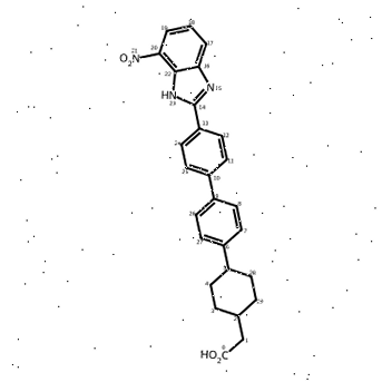 O=C(O)CC1CCC(c2ccc(-c3ccc(-c4nc5cccc([N+](=O)[O-])c5[nH]4)cc3)cc2)CC1